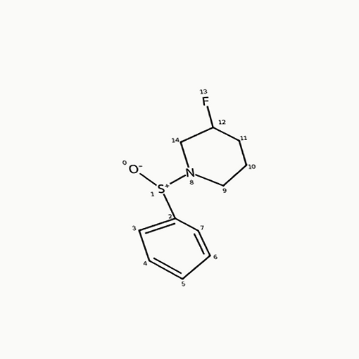 [O-][S+](c1ccccc1)N1CCCC(F)C1